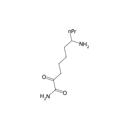 CCCC(N)CCCCC(=O)C(N)=O